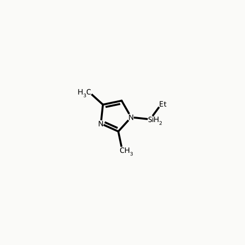 CC[SiH2]n1cc(C)nc1C